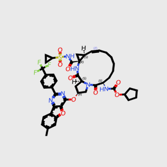 Cc1ccc2c(c1)oc1c(O[C@@H]3C[C@H]4C(=O)N[C@]5(C(=O)NS(=O)(=O)C6CC6)C[C@H]5/C=C\CCCCC[C@H](NC(=O)OC5CCCC5)C(=O)N4C3)nc(-c3ccc(C(F)(F)F)cc3)nc12